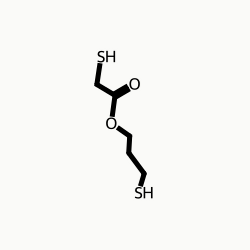 O=C(CS)OCCCS